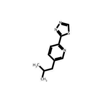 CC(C)Cc1ccc(-c2nncs2)nc1